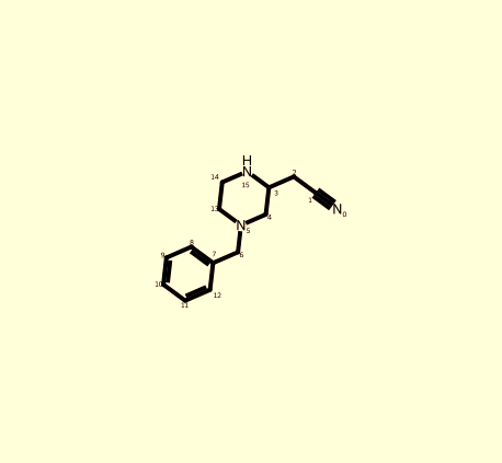 N#CCC1CN(Cc2ccccc2)CCN1